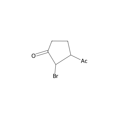 CC(=O)C1CCC(=O)C1Br